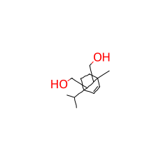 CC(C)C12C=CC(C)(CC1)C(CO)C2CO